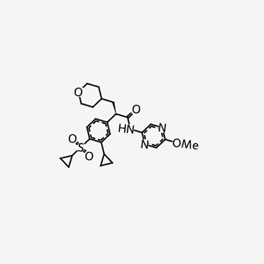 COc1cnc(NC(=O)[C@H](CC2CCOCC2)c2ccc(S(=O)(=O)C3CC3)c(C3CC3)c2)cn1